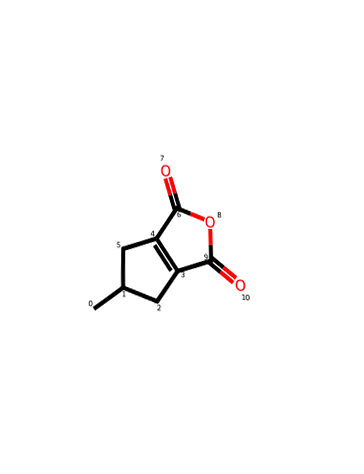 CC1CC2=C(C1)C(=O)OC2=O